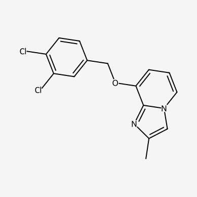 Cc1cn2cccc(OCc3ccc(Cl)c(Cl)c3)c2n1